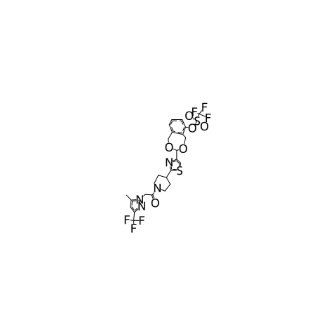 Cc1cc(C(F)(F)F)nn1CC(=O)N1CCC(c2nc(C3OCc4cccc(OS(=O)(=O)C(F)(F)F)c4CO3)cs2)CC1